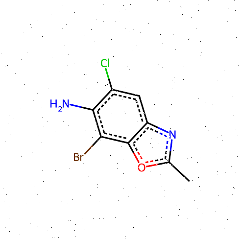 Cc1nc2cc(Cl)c(N)c(Br)c2o1